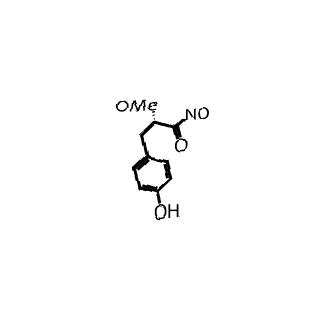 CO[C@@H](Cc1ccc(O)cc1)C(=O)N=O